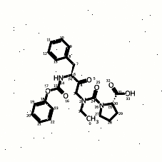 CCN(CC(=O)[C@H](Cc1ccccc1)NC(=O)Oc1ccccc1)C(=O)N1CCC[C@H]1C(=O)O